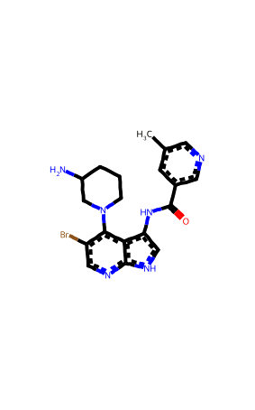 Cc1cncc(C(=O)Nc2c[nH]c3ncc(Br)c(N4CCCC(N)C4)c23)c1